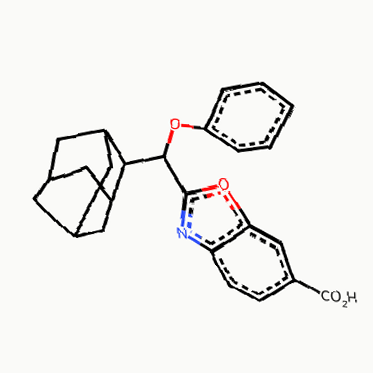 O=C(O)c1ccc2nc(C(Oc3ccccc3)C3C4CC5CC(C4)CC3C5)oc2c1